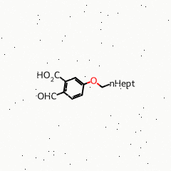 CCCCCCCCOc1ccc([C]=O)c(C(=O)O)c1